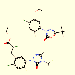 CC(C)Oc1cc(-n2nc(C(C)(C)C)oc2=O)c(Cl)cc1Cl.CCOC(=O)C(Cl)Cc1cc(-n2nc(C)n(C(F)F)c2=O)c(F)cc1Cl